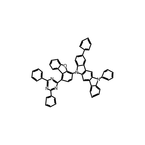 c1ccc(-c2ccc3c(c2)c2cc4c(cc2n3-c2ccc(-c3nc(-c5ccccc5)nc(-c5ccccc5)n3)c3c2oc2ccccc23)c2ccccc2n4-c2ccccc2)cc1